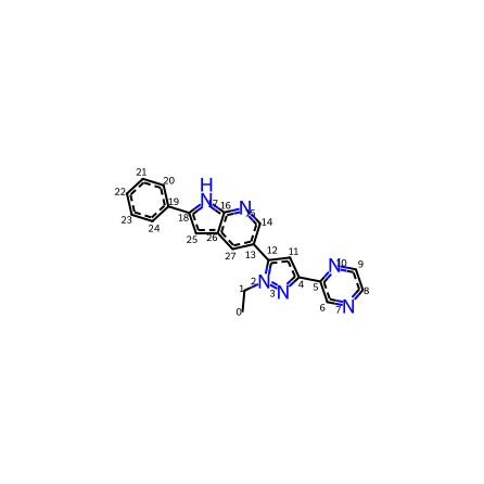 CCn1nc(-c2cnccn2)cc1-c1cnc2[nH]c(-c3ccccc3)cc2c1